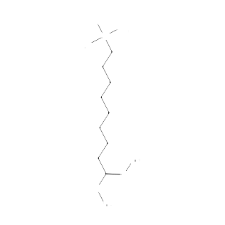 CCCCOC(CCCCCCCC[P+](C)(C)C)OCCCC.[Cl-]